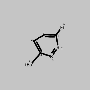 CCc1bbc(C(C)(C)C)cc1